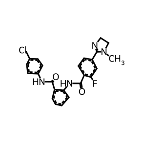 CN1CCN=C1c1ccc(C(=O)Nc2ccccc2C(=O)Nc2ccc(Cl)cc2)c(F)c1